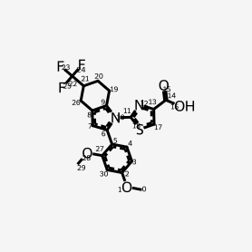 COc1ccc(-c2cc3c(n2-c2nc(C(=O)O)cs2)CCC(C(F)(F)F)C3)c(OC)c1